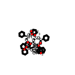 C[Si]1(O)O[SiH](c2ccccc2)O[Si]2(c3ccccc3)O[Si]3(c4ccccc4)O[SiH](c4ccccc4)O[Si]4(c5ccccc5)O[Si](c5ccccc5)(O1)O[Si](c1ccccc1)(O2)O[Si](c1ccccc1)(O[Si](C)(O)O3)O4